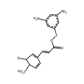 CCC1C=C(/C=C/C(=O)OSc2cc(N)cc(N)c2)C=CC1C(=O)O